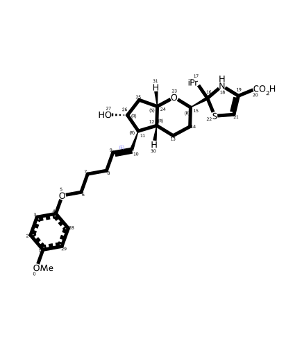 COc1ccc(OCCC/C=C/[C@@H]2[C@H]3CC[C@H](C4(C(C)C)NC(C(=O)O)=CS4)O[C@H]3C[C@H]2O)cc1